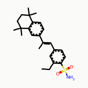 CCc1cc(C=C(C)c2ccc3c(c2)C(C)(C)CCC3(C)C)ccc1S(N)(=O)=O